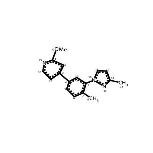 COc1cc(-c2ccc(C)c(-n3ccc(C)n3)c2)ccn1